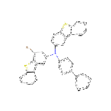 Brc1cc(N(c2ccc(-c3ccccc3)cc2)c2ccc3sc4ccccc4c3c2)cc2c1sc1ccccc12